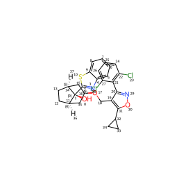 O[C@@]1(c2nc3ccccc3s2)[C@@H]2CC[C@H]1C[C@@H](OCc1c(-c3c(Cl)cccc3Cl)noc1C1CC1)C2